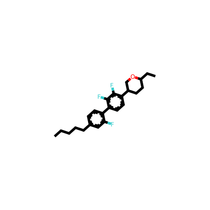 CCCCCc1ccc(-c2ccc(C3CCC(CC)OC3)c(F)c2F)c(F)c1